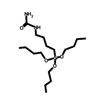 CCCCO[Si](CCCCNC(N)=O)(OCCCC)OCCCC